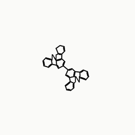 C1=Cc2c(n3c4ccccc4c4cc(-c5cc6c7ccccc7n7c8ccccc8c(c5)c67)cc2c43)CC1